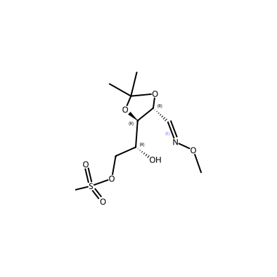 CO/N=C/[C@H]1OC(C)(C)O[C@@H]1[C@H](O)COS(C)(=O)=O